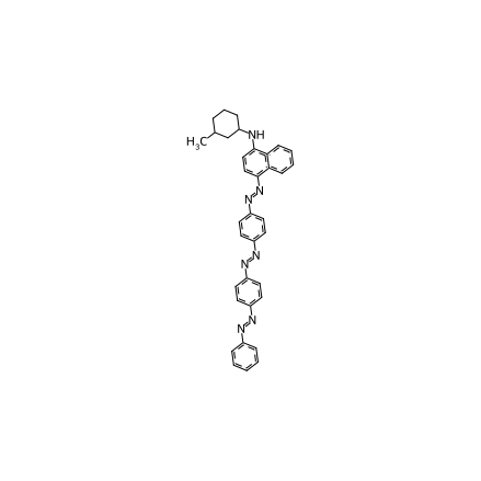 CC1CCCC(Nc2ccc(N=Nc3ccc(N=Nc4ccc(N=Nc5ccccc5)cc4)cc3)c3ccccc23)C1